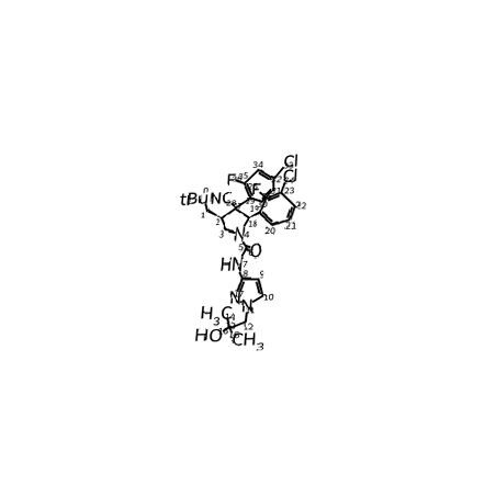 CC(C)(C)C[C@@H]1CN(C(=O)Nc2ccn(CC(C)(C)O)n2)[C@H](c2cccc(Cl)c2F)[C@@]1(C#N)c1ccc(Cl)cc1F